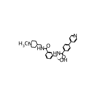 CN1CCC(CNC(=O)c2cccc([C@@H](CO)NC(=O)c3ccc(-c4ccncc4)cc3)c2)CC1